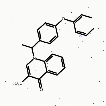 C/C=C\C(=C/C)Oc1ccc(C(C)n2cc(C(=O)O)c(=O)c3ccccc32)cc1